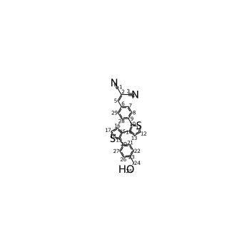 N#CC(C#N)=Cc1ccc(-c2sccc2-c2ccsc2-c2ccc(CO)cc2)cc1